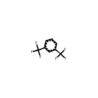 FC(F)(F)c1[c]c(C(F)(F)F)c[c]c1